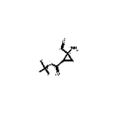 CC(C)(C)OC(=O)C1CC1(N)C=O